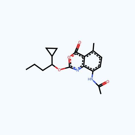 CCCC(Oc1nc2c(NC(C)=O)ccc(C)c2c(=O)o1)C1CC1